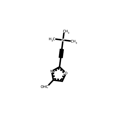 C[Si](C)(C)C#Cc1nc(C=O)co1